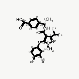 C[C@H](NC(=O)c1c(C(F)F)nn(C)c1Oc1ccc(F)c(Br)c1)c1ccc(C(=O)O)cc1